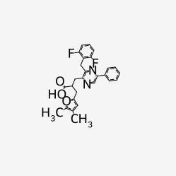 Cc1cc(CC(Cc2ncc(-c3ccccc3)nc2Cc2c(F)cccc2F)C(=O)O)oc1C